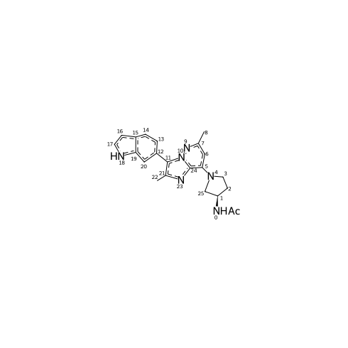 CC(=O)N[C@@H]1CCN(c2cc(C)nn3c(-c4ccc5cc[nH]c5c4)c(C)nc23)C1